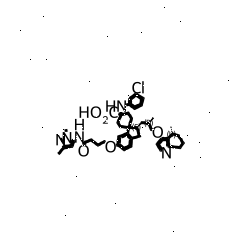 Cc1cc(NC(=O)CCCOc2ccc3c(c2)C2(CCC(Nc4cccc(Cl)c4)(C(=O)O)CC2)[C@@H](C[C@@H](C)COc2ccnc4c2[C@H](C)CCC4)C3)n(C)n1